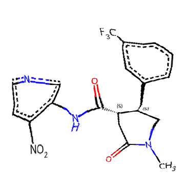 CN1C[C@H](c2cccc(C(F)(F)F)c2)[C@@H](C(=O)Nc2cnccc2[N+](=O)[O-])C1=O